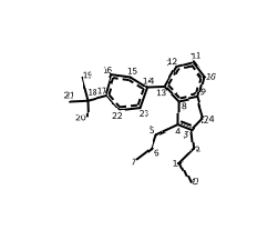 CCCC1=C(CCC)c2c(cccc2-c2ccc(C(C)(C)C)cc2)[CH]1